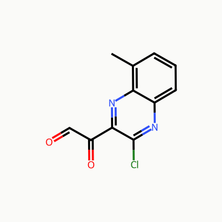 Cc1cccc2nc(Cl)c(C(=O)C=O)nc12